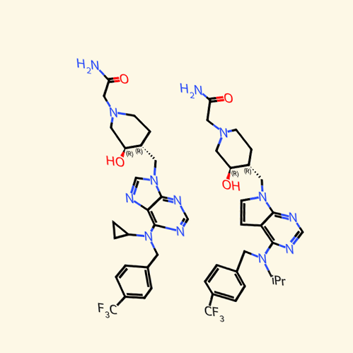 CC(C)N(Cc1ccc(C(F)(F)F)cc1)c1ncnc2c1ccn2C[C@H]1CCN(CC(N)=O)C[C@@H]1O.NC(=O)CN1CC[C@H](Cn2cnc3c(N(Cc4ccc(C(F)(F)F)cc4)C4CC4)ncnc32)[C@@H](O)C1